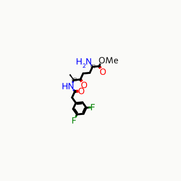 COC(=O)[C@@H](N)CCC(=O)[C@H](C)NC(=O)Cc1cc(F)cc(F)c1